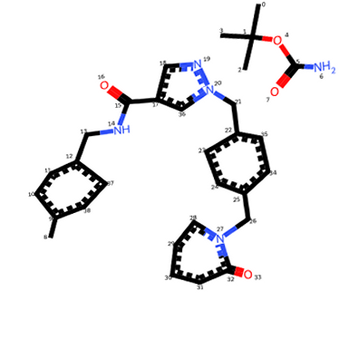 CC(C)(C)OC(N)=O.Cc1ccc(CNC(=O)c2cnn(Cc3ccc(Cn4ccccc4=O)cc3)c2)cc1